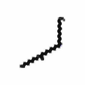 CCCCCCCCCC/C=C\CCCCCCCC(=O)OCCCCCCO